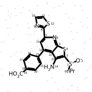 CCC[S+]([O-])c1sc2nc(-c3nccs3)cc(-c3ccc(C(=O)O)cc3)c2c1N